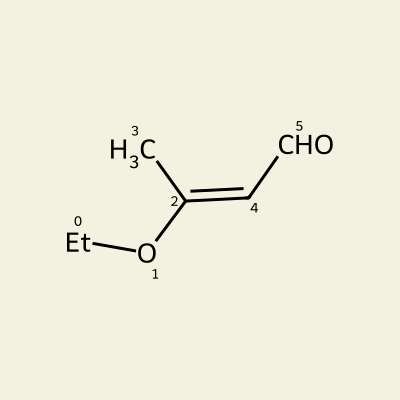 CCO/C(C)=C/C=O